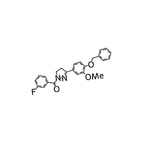 COc1cc(C2=NN(C(=O)c3cccc(F)c3)CC2)ccc1OCc1ccccc1